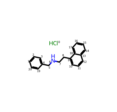 Cl.c1ccc(CNCCc2cccc3ccccc23)cc1